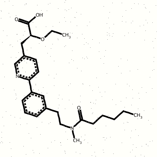 CCCCCC(=O)N(C)CCc1cccc(-c2ccc(C[C@H](OCC)C(=O)O)cn2)c1